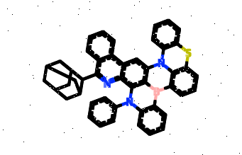 c1ccc(N2c3ccccc3B3c4cccc5c4N(c4ccccc4S5)c4cc5c(nc(C6C7CC8CC(C7)CC6C8)c6ccccc65)c2c43)cc1